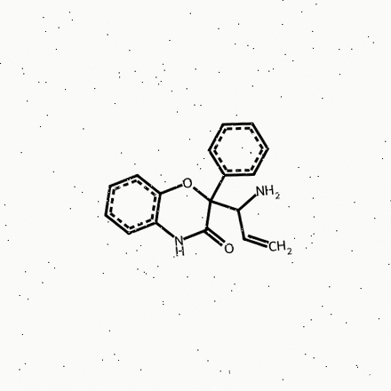 C=CC(N)C1(c2ccccc2)Oc2ccccc2NC1=O